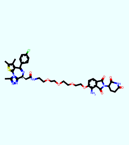 Cc1sc2c(c1C)C(c1ccc(Cl)cc1)=N[C@@H](CC(=O)NCCOCCOCCOCCOc1ccc3c(c1N)C(=O)N(C1CCC(=O)NC1=O)C3=O)c1nnc(C)n1-2